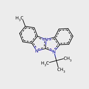 Cc1ccc2nc3n(C(C)(C)C)c4ccccc4n3c2c1